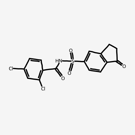 O=C(NS(=O)(=O)c1ccc2c(c1)CCC2=O)c1ccc(Cl)cc1Cl